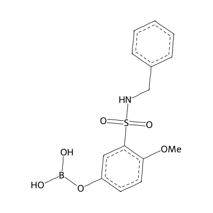 COc1ccc(OB(O)O)cc1S(=O)(=O)NCc1ccccc1